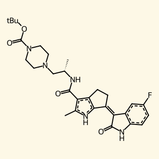 Cc1[nH]c2c(c1C(=O)N[C@@H](C)CN1CCN(C(=O)OC(C)(C)C)CC1)CC/C2=C1/C(=O)Nc2ccc(F)cc21